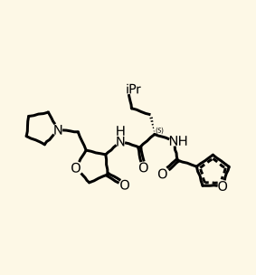 CC(C)CC[C@H](NC(=O)c1ccoc1)C(=O)NC1C(=O)COC1CN1CCCC1